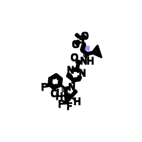 CS(=O)(=O)/C=C/[C@H](NC(=O)c1ncc(N2C[C@@H]3[C@H]([C@H]2c2cccc(F)c2Cl)C3(F)F)cn1)C1CC1